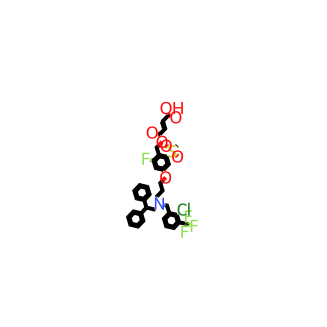 CS(=O)(=O)c1cc(OCCCN(Cc2cccc(C(F)(F)F)c2Cl)CC(c2ccccc2)c2ccccc2)cc(F)c1COC(=O)C=CC(=O)O